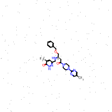 O=C(C[C@H](COCc1ccccc1)NCc1cc(C(F)(F)F)c(=O)[nH]n1)N1CCN(c2ncc(C(F)(F)F)cn2)CC1